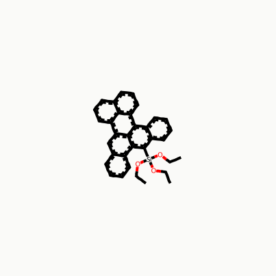 CCO[Si](OCC)(OCC)c1c2ccccc2c2c3cccc4cccc(c5cc6ccccc6c1c52)c43